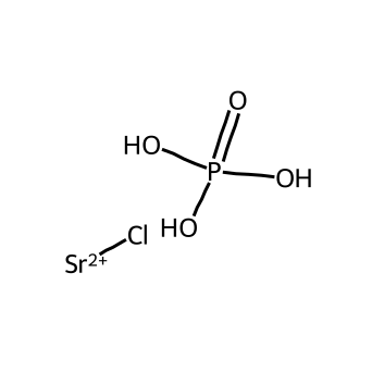 O=P(O)(O)O.[Cl][Sr+2]